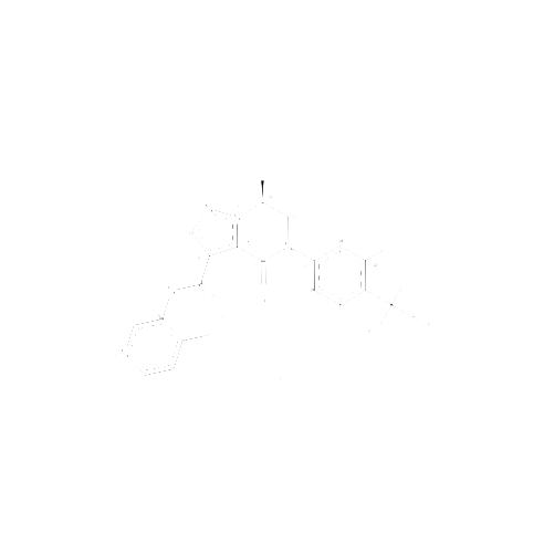 Cc1ccncc1NC(=O)c1cnn2c1C(=O)N(c1ccc(C(F)(F)F)c(Cl)c1)C[C@@H]2C.Cl